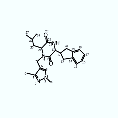 Cc1nn(C)cc1CN1C(=O)C(C2Cc3ccccc3C2)NC(=O)C1CC(C)C